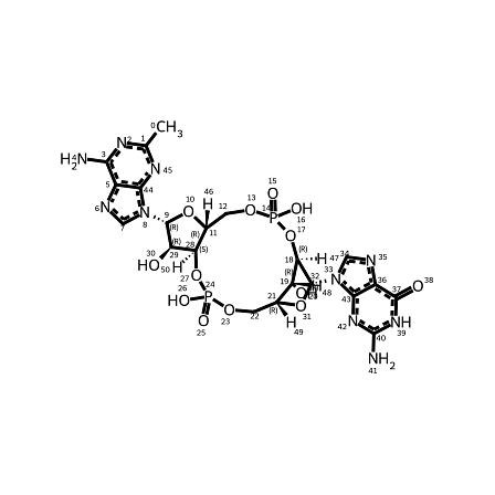 Cc1nc(N)c2ncn([C@@H]3O[C@@H]4COP(=O)(O)O[C@@H]5[C@H](O)[C@@H](COP(=O)(O)O[C@H]4[C@H]3O)O[C@H]5n3cnc4c(=O)[nH]c(N)nc43)c2n1